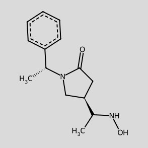 CC(NO)[C@@H]1CC(=O)N([C@H](C)c2ccccc2)C1